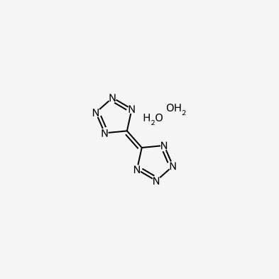 N1=NC(=C2N=NN=N2)N=N1.O.O